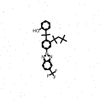 CC(C)(C)CC(C)(C)c1cc(-n2nc3ccc(C(F)(F)F)cc3n2)ccc1C(C)(C)c1ccccc1O